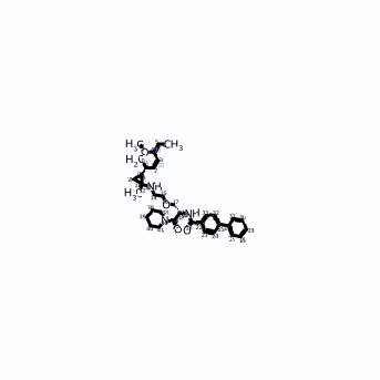 C=C(/C=C\C(=C/C)OC)[C@@H]1CC1(C)NCCOC[C@H](NC(=O)c1ccc(-c2ccccc2)cc1)C(=O)N1CCCCC1